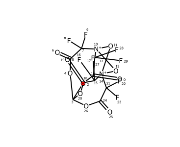 O=C1OC23OC(=O)C(F)(F)[N+]4(OC45O[N+]5(C(F)(F)C(=O)O2)C(F)(F)C(=O)O3)C1(F)F